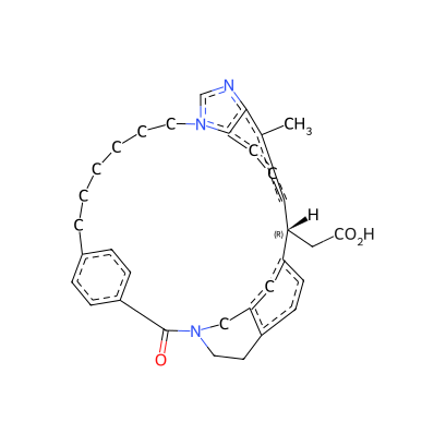 Cc1c2ccc3c1ncn3CCCCCCc1ccc(cc1)C(=O)N1CCc3ccc(cc3C1)[C@H]2CC(=O)O